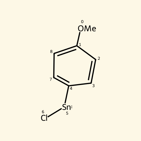 COc1cc[c]([Sn][Cl])cc1